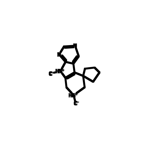 [CH2-][NH+]1CC2=C(c3cncnc3[NH+]2[CH2-])C2(CCCC2)C1